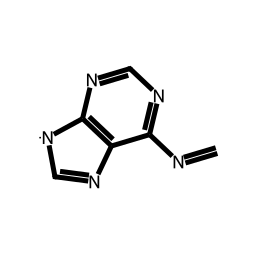 C=Nc1ncnc2c1N=C[N]2